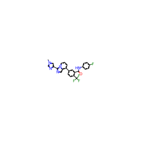 Cn1cnc(-c2ncc3c(-c4ccc(C(F)(F)F)c(C(=O)Nc5ccc(F)cc5)c4)cccn23)c1